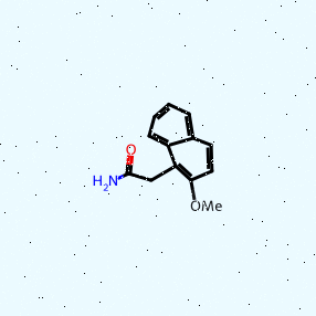 COc1ccc2ccccc2c1CC(N)=O